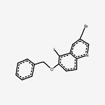 Brc1cnc2ccc(OCc3ccccc3)c(I)c2c1